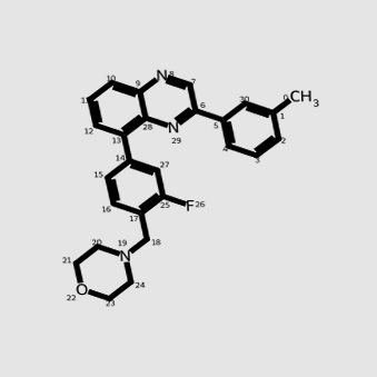 Cc1cccc(-c2cnc3cccc(-c4ccc(CN5CCOCC5)c(F)c4)c3n2)c1